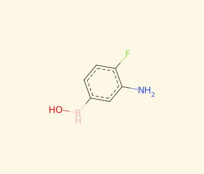 Nc1cc(BO)ccc1F